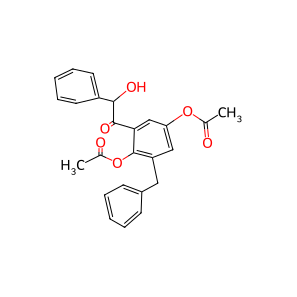 CC(=O)Oc1cc(Cc2ccccc2)c(OC(C)=O)c(C(=O)C(O)c2ccccc2)c1